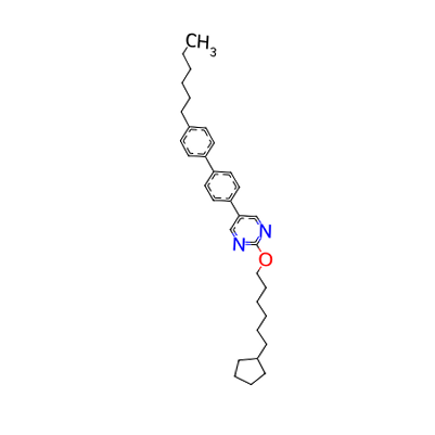 CCCCCCc1ccc(-c2ccc(-c3cnc(OCCCCCCC4CCCC4)nc3)cc2)cc1